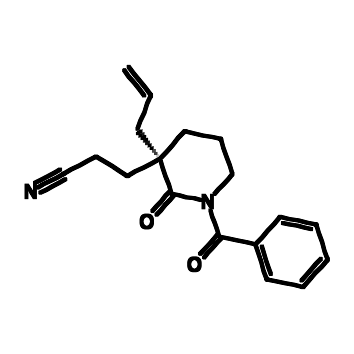 C=CC[C@]1(CCC#N)CCCN(C(=O)c2ccccc2)C1=O